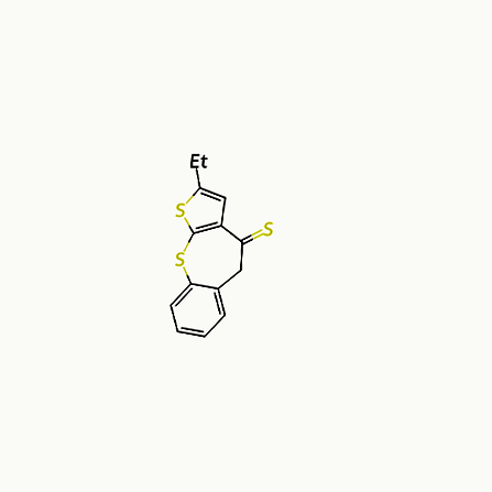 CCc1cc2c(s1)Sc1ccccc1CC2=S